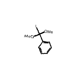 COC(I)(OC)c1ccccc1